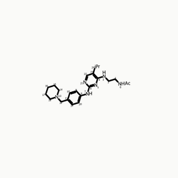 CC(=O)NCCNc1nc(Nc2ccc(CN3CCCCC3)cc2)ncc1C(C)C